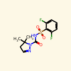 CC1(C)CC=NN1C(=O)NS(=O)(=O)c1c(F)cccc1F